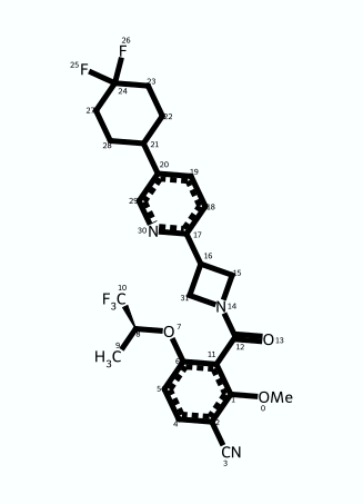 COc1c(C#N)ccc(O[C@@H](C)C(F)(F)F)c1C(=O)N1CC(c2ccc(C3CCC(F)(F)CC3)cn2)C1